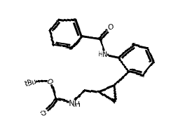 CC(C)(C)OC(=O)NCC1CC1c1ccccc1NC(=O)c1ccccc1